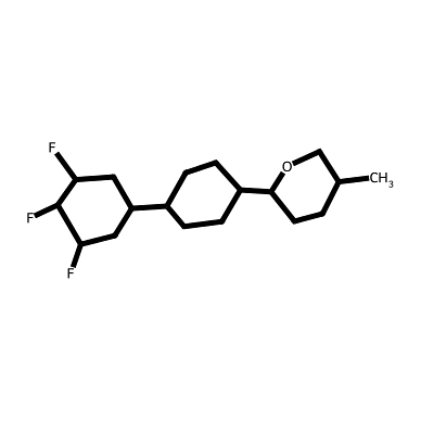 CC1CCC(C2CCC(C3CC(F)C(F)C(F)C3)CC2)OC1